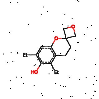 CCc1cc2c(c(CC)c1O)CCC1(COC1)O2